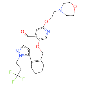 O=Cc1cc(OCCN2CCOCC2)ncc1OCC1=C(c2ccnn2CCC(F)(F)F)CCCC1